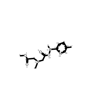 COC(=O)CN(C)CC(=O)OB(C)c1ccc(C)cn1